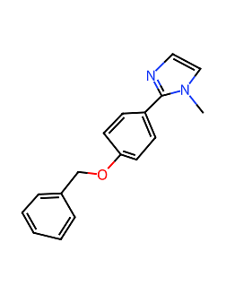 Cn1ccnc1-c1ccc(OCc2ccccc2)cc1